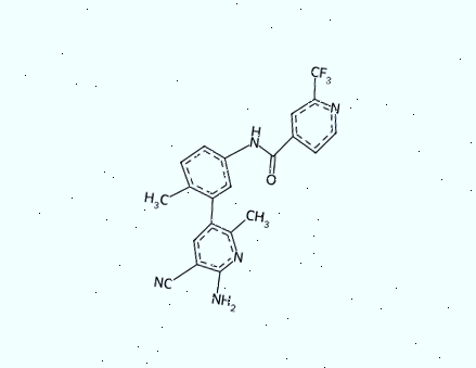 Cc1ccc(NC(=O)c2ccnc(C(F)(F)F)c2)cc1-c1cc(C#N)c(N)nc1C